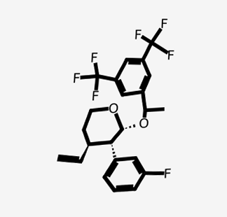 C=C[C@H]1CCO[C@H](OC(C)c2cc(C(F)(F)F)cc(C(F)(F)F)c2)[C@@H]1c1cccc(F)c1